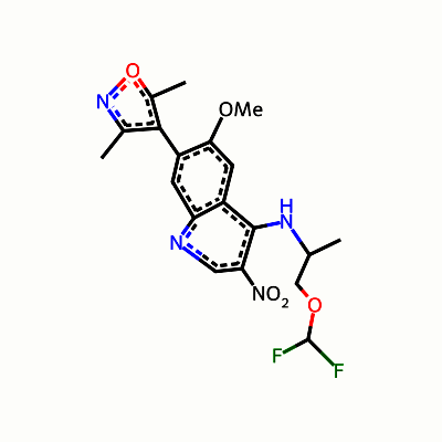 COc1cc2c(NC(C)COC(F)F)c([N+](=O)[O-])cnc2cc1-c1c(C)noc1C